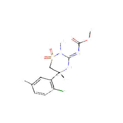 CN1/C(=N\C(=O)OC(C)(C)C)N[C@](C)(c2cc(C(=O)O)ccc2F)CS1(=O)=O